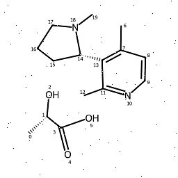 C[C@H](O)C(=O)O.Cc1ccnc(C)c1[C@@H]1CCCN1C